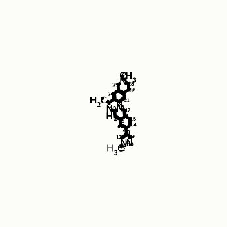 C=C(Nc1cc2cc(-c3cnn(C)c3)ccc2cn1)c1ccc2c(c1)CN(C)CC2